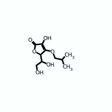 CC(C)COC1=C(O)C(=O)OC1C(O)CO